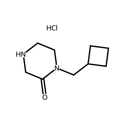 Cl.O=C1CNCCN1CC1CCC1